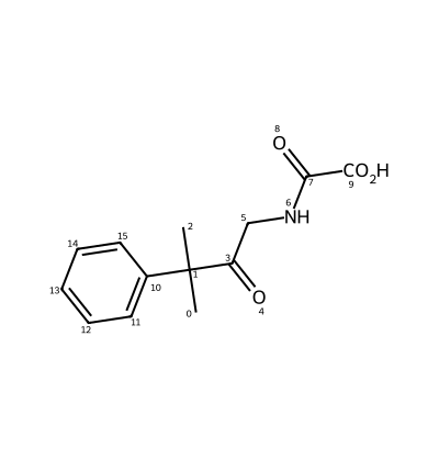 CC(C)(C(=O)CNC(=O)C(=O)O)c1ccccc1